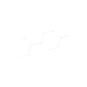 CN1CCC(/C(N)=N/I)CC1